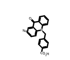 O=C(O)c1ccc(Cn2c3ccccc3c(=O)c3ccccc32)cc1.[Na]